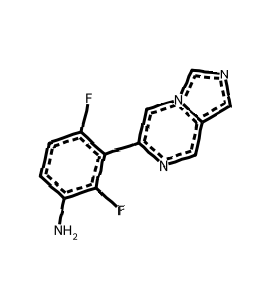 Nc1ccc(F)c(-c2cn3cncc3cn2)c1F